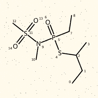 CCC(C)SP(=O)(CC)N(C)S(C)(=O)=O